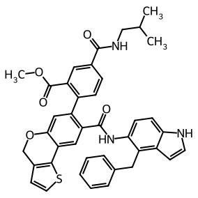 COC(=O)c1cc(C(=O)NCC(C)C)ccc1-c1cc2c(cc1C(=O)Nc1ccc3[nH]ccc3c1Cc1ccccc1)-c1sccc1CO2